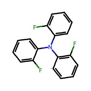 Fc1ccc[c]c1N(c1ccccc1F)c1ccccc1F